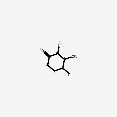 CC1CCC(=O)C(C(F)(F)F)C1C(F)(F)F